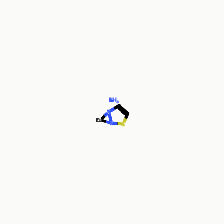 C1=C[N]2[Cu][N]2S1.N